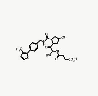 Cc1ncsc1-c1ccc(CNC(=O)[C@@H]2C[C@@H](O)CC2C(=O)[C@@H](NC(=O)CCC(=O)O)C(C)(C)C)cc1